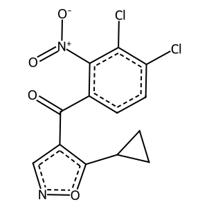 O=C(c1cnoc1C1CC1)c1ccc(Cl)c(Cl)c1[N+](=O)[O-]